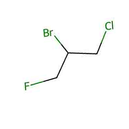 FCC(Br)CCl